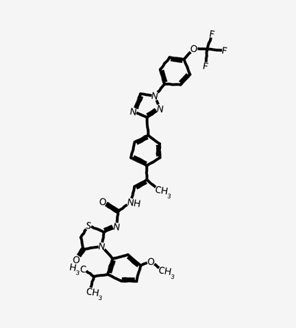 COc1ccc(C(C)C)c(N2C(=O)CS/C2=N\C(=O)N/C=C(\C)c2ccc(-c3ncn(-c4ccc(OC(F)(F)F)cc4)n3)cc2)c1